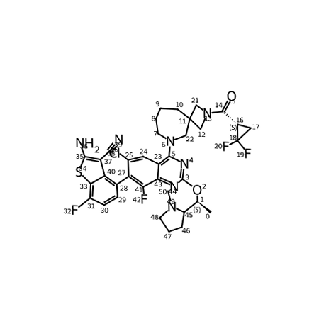 C[C@H](Oc1nc(N2CCCCC3(CN(C(=O)[C@@H]4CC4(F)F)C3)C2)c2cc(Cl)c(-c3ccc(F)c4sc(N)c(C#N)c34)c(F)c2n1)C1CCCN1C